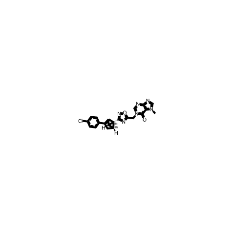 Cn1cnc2ncn(Cc3nc([C@]45C6=C(c7ccc(Cl)cc7)C[C@@H]4[C@H]65)no3)c(=O)c21